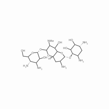 CNC1C(O[C@H]2OC(CO)[C@@H](N)C(N)C2O)O[C@H]2CC(N)[C@@H](O[C@@H]3C(N)C[C@@H](N)C(O)C3O)OC2C1O